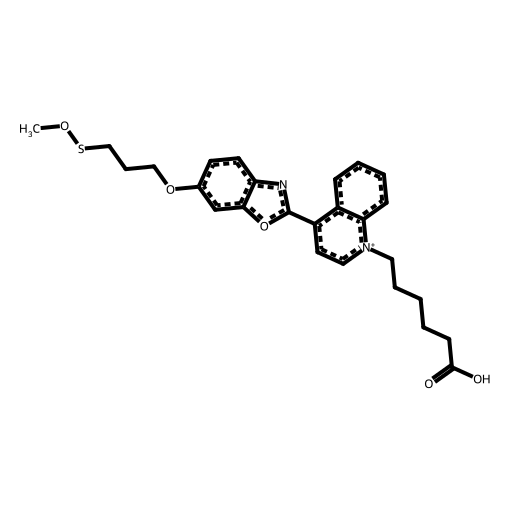 COSCCCOc1ccc2nc(-c3cc[n+](CCCCCC(=O)O)c4ccccc34)oc2c1